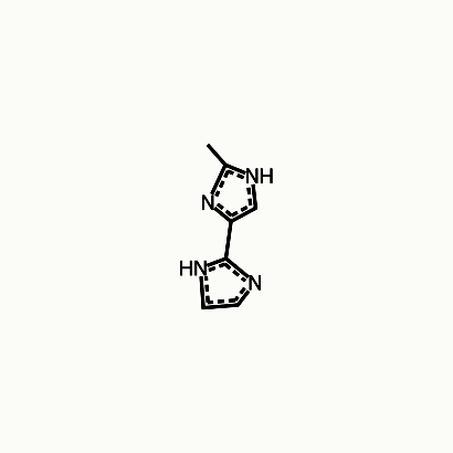 Cc1nc(-c2ncc[nH]2)c[nH]1